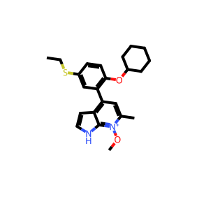 CCSc1ccc(OC2CCCCC2)c(-c2cc(C)[n+](OC)c3[nH]ccc23)c1